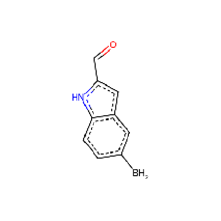 Bc1ccc2[nH]c(C=O)cc2c1